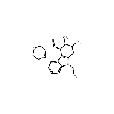 C1COCCN1.CCn1c2c(c3ccccc31)C(C=O)C(C)C(C)C2